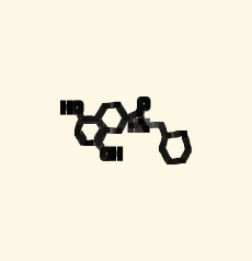 O=C(NCC1CCCCC1)C1CCc2c(O)ccc(O)c2C1